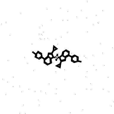 Cc1ccc(-c2cccc3c2C=C(C2CC2)C3[Si](C)(C)C2C(C3CC3)=Cc3c(-c4ccc(C)cc4)cccc32)cc1